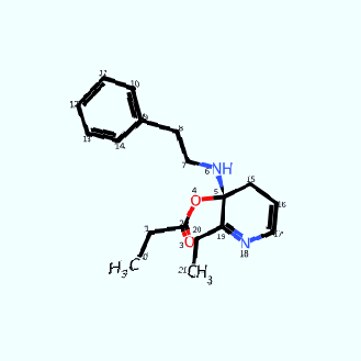 CCC(=O)O[C@]1(NCCc2ccccc2)CC=CN=C1CC